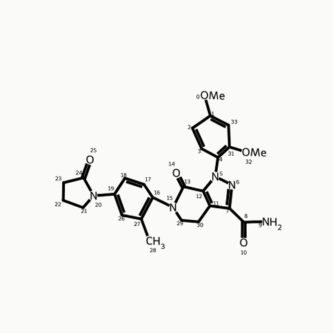 COc1ccc(-n2nc(C(N)=O)c3c2C(=O)N(c2ccc(N4CCCC4=O)cc2C)CC3)c(OC)c1